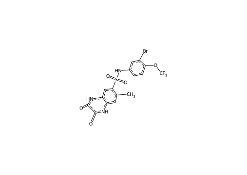 Cc1cc2[nH]c(=O)c(=O)[nH]c2cc1S(=O)(=O)Nc1ccc(OC(F)(F)F)c(Br)c1